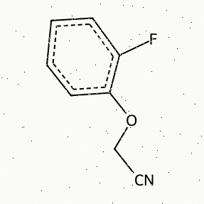 N#CCOc1ccccc1F